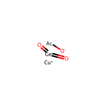 CC(=O)[O-].[Cu+].[O]=[Ge]=[O]